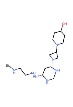 CCNCCNN[C@@H]1C[C@H](N2CC(N3CCC(O)CC3)C2)NCN1